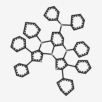 c1ccc(-c2sc3c(c2-c2ccccc2)N(c2ccccc2)c2cc(N(c4ccccc4)c4ccccc4)cc4c2B3c2sc(-c3ccccc3)c(-c3ccccc3)c2N4c2ccccc2)cc1